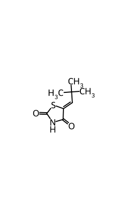 CC(C)(C)C=C1SC(=O)NC1=O